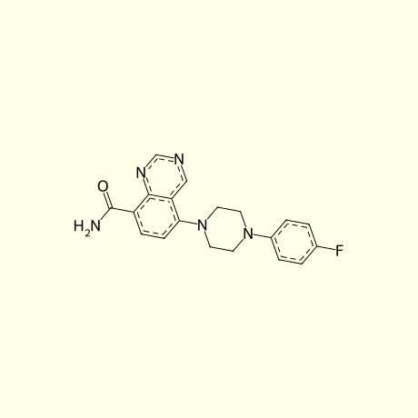 NC(=O)c1ccc(N2CCN(c3ccc(F)cc3)CC2)c2cncnc12